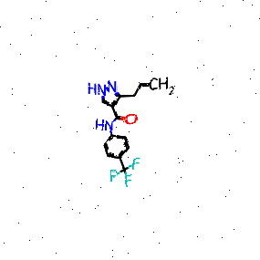 C=CCc1n[nH]cc1C(=O)Nc1ccc(C(F)(F)F)cc1